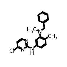 Cc1ccc(Nc2nccc(Cl)n2)cc1N(C)Cc1ccccc1